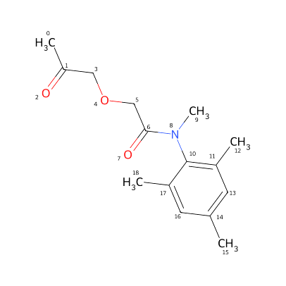 CC(=O)COCC(=O)N(C)c1c(C)cc(C)cc1C